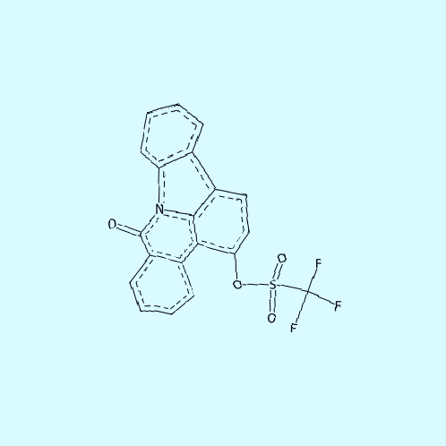 O=c1c2ccccc2c2c(OS(=O)(=O)C(F)(F)F)ccc3c4ccccc4n1c32